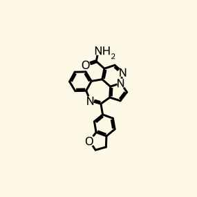 NC(=O)c1cnn2ccc3c2c1-c1ccccc1N=C3c1ccc2c(c1)OCC2